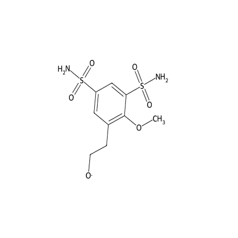 COc1c(CC[O])cc(S(N)(=O)=O)cc1S(N)(=O)=O